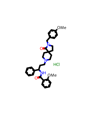 COc1ccc(CN2CCC3(CCN(CCC(NC(=O)c4ccccc4OC)c4ccccc4)CC3)C2=O)cc1.Cl